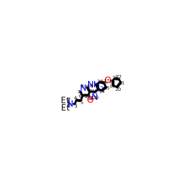 CCN(CC)CC=Cc1cnc(N)c2c(-c3ccc(Oc4ccccc4)cc3)noc12